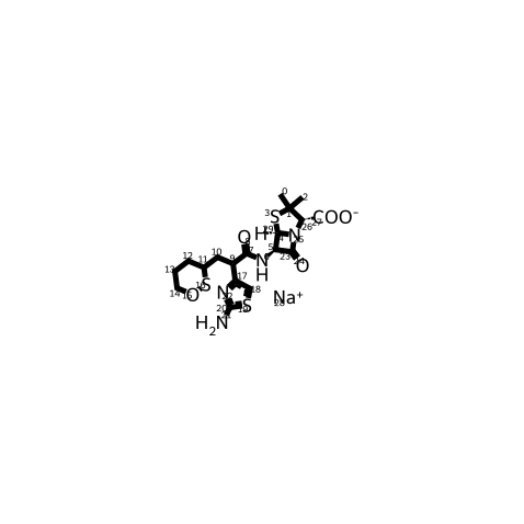 CC1(C)S[C@@H]2[C@H](NC(=O)C(CC3CCCOS3)c3csc(N)n3)C(=O)N2[C@H]1C(=O)[O-].[Na+]